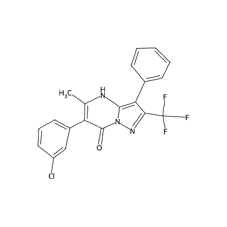 Cc1[nH]c2c(-c3ccccc3)c(C(F)(F)F)nn2c(=O)c1-c1cccc(Cl)c1